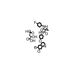 COc1cc2nccc(Oc3ccc(NC(=O)C4(C(=O)Nc5ccc(F)cc5)CC4)cc3)c2cc1OC.O=C(O)CC(O)C(=O)O